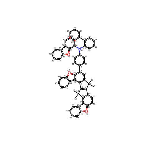 CC1(C)C2=C(c3c1cc(-c1ccc(N(c4ccccc4-c4ccccc4)c4cccc5c4oc4ccccc45)cc1)c1oc4ccccc4c31)C(C)(C)c1c2ccc2oc3ccccc3c12